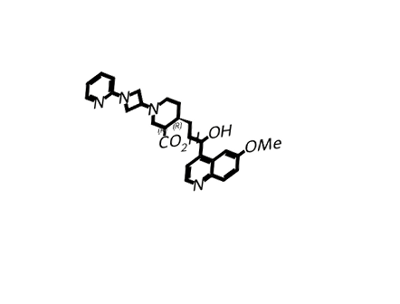 COc1ccc2nccc(C(O)CC[C@@H]3CCN(C4CN(c5ccccn5)C4)C[C@@H]3C(=O)O)c2c1